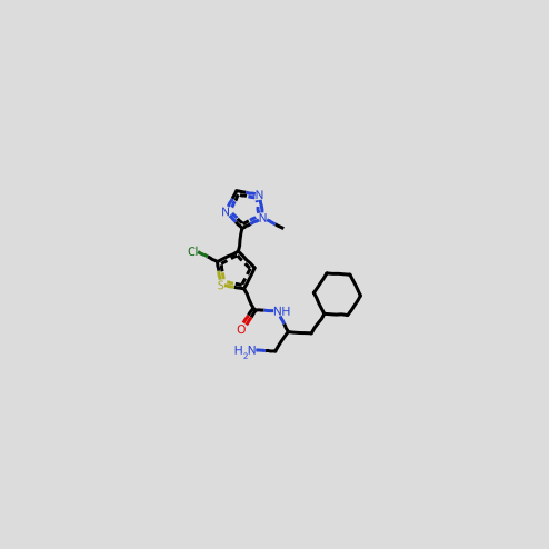 Cn1ncnc1-c1cc(C(=O)NC(CN)CC2CCCCC2)sc1Cl